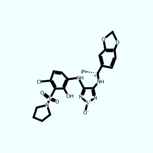 CC(C)[C@@H](Nc1n[s+]([O-])nc1Nc1ccc(Cl)c(S(=O)(=O)N2CCCC2)c1O)c1ccc2c(c1)OCO2